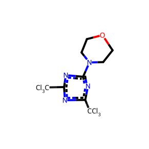 ClC(Cl)(Cl)c1nc(N2CCOCC2)nc(C(Cl)(Cl)Cl)n1